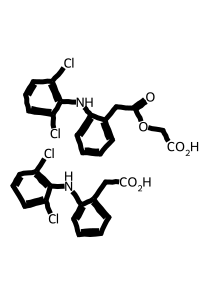 O=C(O)COC(=O)Cc1ccccc1Nc1c(Cl)cccc1Cl.O=C(O)Cc1ccccc1Nc1c(Cl)cccc1Cl